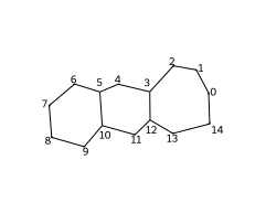 C1CCC2CC3CCCCC3CC2CC1